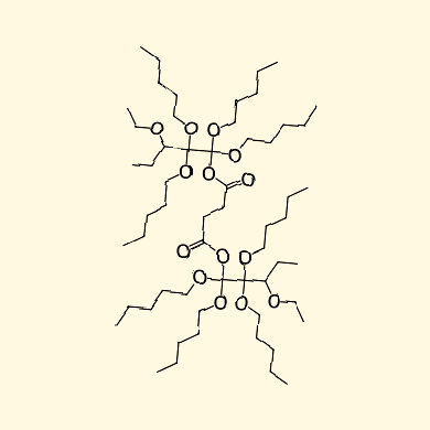 CCCCCOC(OCCCCC)(OC(=O)CCC(=O)OC(OCCCCC)(OCCCCC)C(OCCCCC)(OCCCCC)C(CC)OCC)C(OCCCCC)(OCCCCC)C(CC)OCC